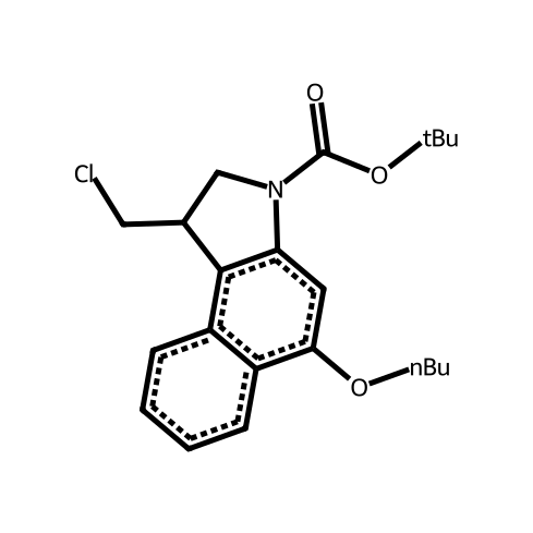 CCCCOc1cc2c(c3ccccc13)C(CCl)CN2C(=O)OC(C)(C)C